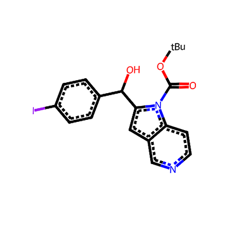 CC(C)(C)OC(=O)n1c(C(O)c2ccc(I)cc2)cc2cnccc21